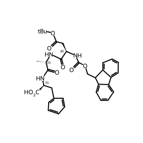 C[C@H](NC(=O)[C@@H](CC(=O)OC(C)(C)C)NC(=O)OCC1c2ccccc2-c2ccccc21)C(=O)N[C@@H](Cc1ccccc1)C(=O)O